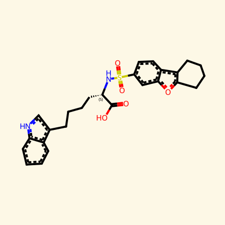 O=C(O)[C@H](CCCCc1c[nH]c2ccccc12)NS(=O)(=O)c1ccc2c3c(oc2c1)CCCC3